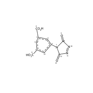 O=C(O)c1cc(C(=O)O)cc(N2C(=O)N=NC2=O)c1